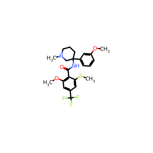 COc1cccc(C2(NC(=O)c3c(OC)cc(C(F)(F)F)cc3SC)CCCN(C)C2)c1